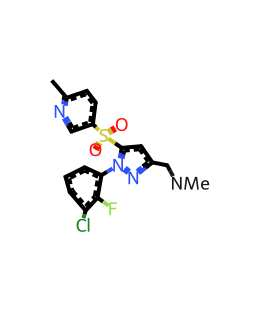 CNCc1cc(S(=O)(=O)c2ccc(C)nc2)n(-c2cccc(Cl)c2F)n1